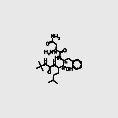 CC(C)CCC(NC(=O)NC(C)(C)C)[C@H](O)[C@H](Cc1ccccc1)NC(=O)[C@@H](N)CC(N)=O